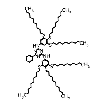 CCCCCCCCCCSc1cc(Nc2nc(Nc3cc(SCCCCCCCCCC)c(SCCCCCCCCCC)c(SCCCCCCCCCC)c3)nc(-c3cc[c]cc3)n2)cc(SCCCCCCCCCC)c1SCCCCCCCCCC